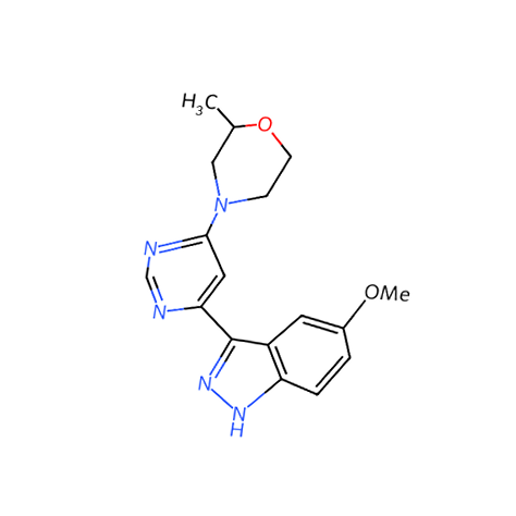 COc1ccc2[nH]nc(-c3cc(N4CCOC(C)C4)ncn3)c2c1